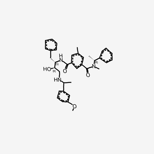 COc1cccc(C(C)NC[C@@H](O)[C@H](Cc2ccccc2)NC(=O)c2cc(C)cc(C(=O)N(C)[C@H](C)c3ccccc3)c2)c1